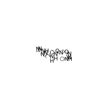 C=N/C(=N\C(=C(C)C)c1c[nH]c2c(NC(=O)CN3CC[C@H](Oc4cc(NC5CCCCC5)ncn4)C3)cccc12)Nc1cc(C)n(C)n1